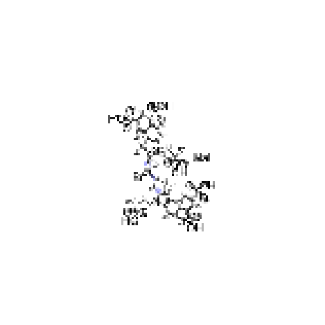 CC(CCN1/C(=C/C=C(Br)/C=C/C2=[N+](CCC(C)S(=O)(=O)O)c3ccc4c(S(=O)(=O)O)cc(S(=O)(=O)O)cc4c3C2(C)C)C(C)(C)c2c1ccc1c(S(=O)(=O)O)cc(S(=O)(=O)O)cc21)S(=O)(=O)O.[NaH]